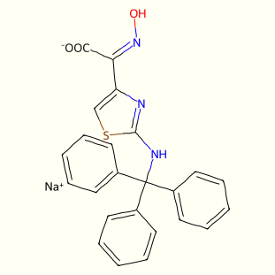 O=C([O-])C(=NO)c1csc(NC(c2ccccc2)(c2ccccc2)c2ccccc2)n1.[Na+]